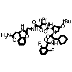 CCCC(NC(=O)[C@@H]1C[C@@H](OC(C)(C)C)CN1C(=O)[C@@H](NC(=O)c1c(F)cccc1F)C1CCCCC1)C(=O)C(=O)NCC(=O)NC(CC(N)=O)c1ccccc1